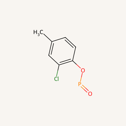 Cc1ccc(OP=O)c(Cl)c1